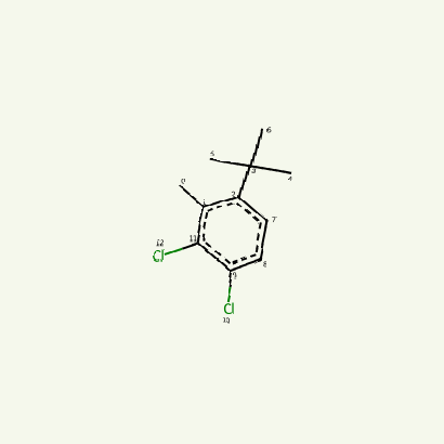 Cc1c(C(C)(C)C)ccc(Cl)c1Cl